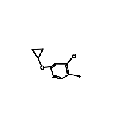 Fc1c[c]c(OC2CC2)cc1Cl